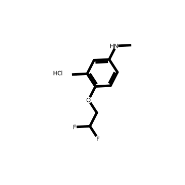 CNc1ccc(OCC(F)F)c(C)c1.Cl